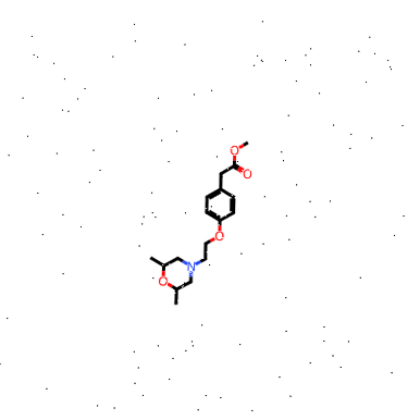 COC(=O)Cc1ccc(OCCN2CC(C)OC(C)C2)cc1